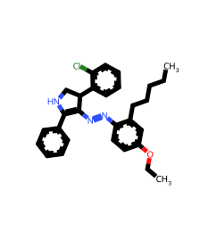 CCCCCc1cc(OCC)ccc1N=NC1=C(c2ccccc2)NCC1c1ccccc1Cl